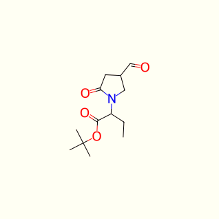 CCC(C(=O)OC(C)(C)C)N1CC(C=O)CC1=O